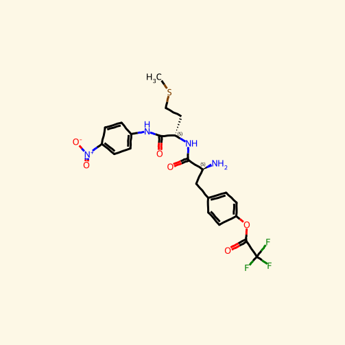 CSCC[C@H](NC(=O)[C@@H](N)Cc1ccc(OC(=O)C(F)(F)F)cc1)C(=O)Nc1ccc([N+](=O)[O-])cc1